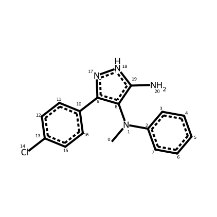 CN(c1ccccc1)c1c(-c2ccc(Cl)cc2)n[nH]c1N